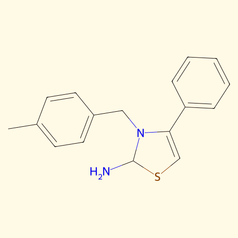 Cc1ccc(CN2C(c3ccccc3)=CSC2N)cc1